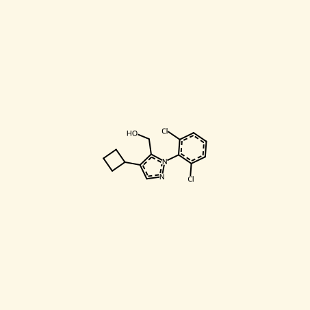 OCc1c(C2CCC2)cnn1-c1c(Cl)cccc1Cl